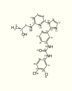 C[C@H](O)CNc1nccc(-n2ccnc2-c2cccc(NC(=O)Nc3ccc(Cl)c(Cl)c3)c2)n1